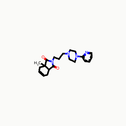 CC12CC=CCC1C(=O)N(CCCN1CCN(c3ccccn3)CC1)C2=O